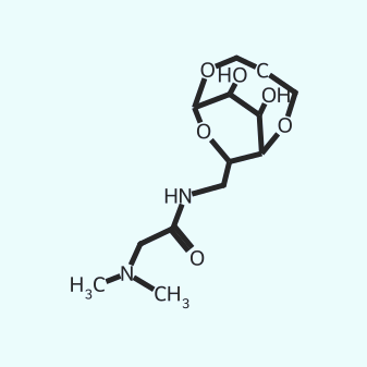 CN(C)CC(=O)NCC1OC2OCCCOC1C(O)C2O